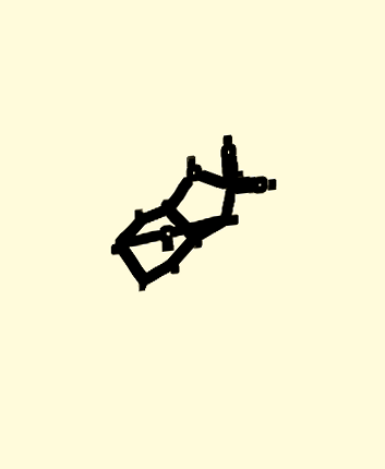 O=S1(=O)OC2CC3CCC2C1C3